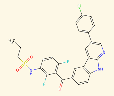 CCCS(=O)(=O)Nc1ccc(F)c(C(=O)c2ccc3[nH]c4ncc(-c5ccc(Cl)cc5)cc4c3c2)c1F